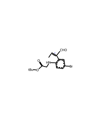 C/C=C(/C=O)c1cc(Br)ccc1NCC(=O)OC(C)(C)C